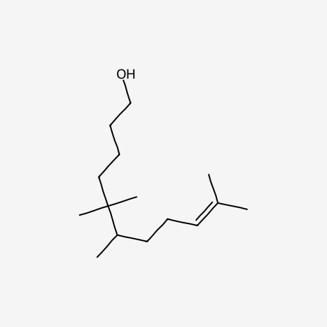 CC(C)=CCCC(C)C(C)(C)CCCCO